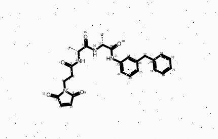 C[C@@H](NC(=O)CCN1C(=O)C=CC1=O)C(=O)N[C@H](C)C(=O)Nc1cccc(Cc2ccccc2)c1